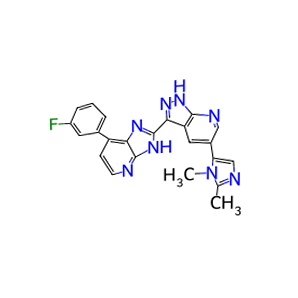 Cc1ncc(-c2cnc3[nH]nc(-c4nc5c(-c6cccc(F)c6)ccnc5[nH]4)c3c2)n1C